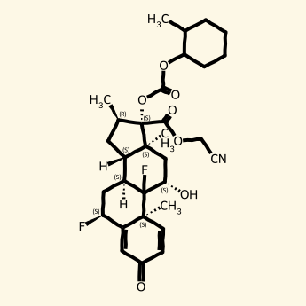 CC1CCCCC1OC(=O)O[C@@]1(C(=O)OCC#N)[C@H](C)C[C@H]2[C@@H]3C[C@H](F)C4=CC(=O)C=C[C@]4(C)C3(F)[C@@H](O)C[C@@]21C